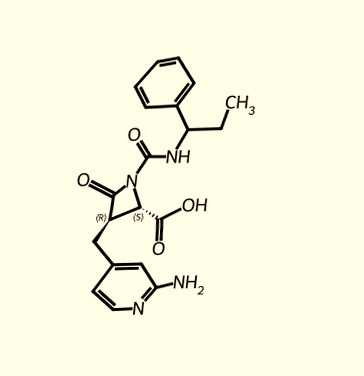 CCC(NC(=O)N1C(=O)[C@H](Cc2ccnc(N)c2)[C@H]1C(=O)O)c1ccccc1